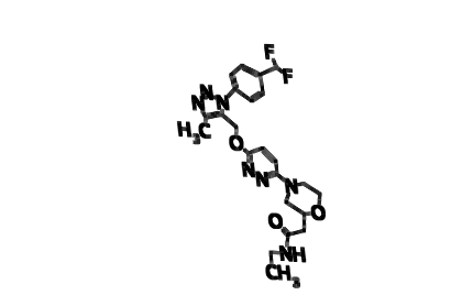 CCNC(=O)CC1CN(c2ccc(OCc3c(C)nnn3-c3ccc(C(F)F)cc3)nn2)CCO1